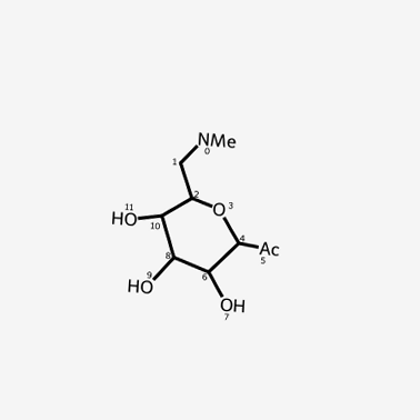 CNCC1OC(C(C)=O)C(O)C(O)C1O